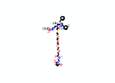 CC(C)(C)OC(=O)NCCCN(C(=O)CSCCOCCOCCOCCOCCC(=O)NCCN1C(=O)C=CC1=O)C(c1nc(-c2cc(F)ccc2F)cn1Cc1ccccc1)C(C)(C)C